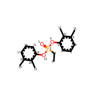 CCP(=O)(Oc1cccc(C)c1C)Oc1cccc(C)c1C